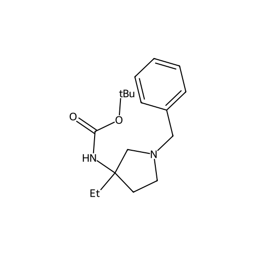 CCC1(NC(=O)OC(C)(C)C)CCN(Cc2ccccc2)C1